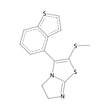 CSC1=C(c2cccc3sccc23)N2CCN=C2S1